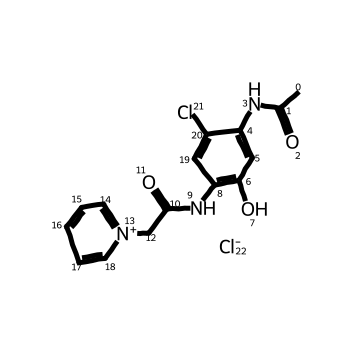 CC(=O)Nc1cc(O)c(NC(=O)C[n+]2ccccc2)cc1Cl.[Cl-]